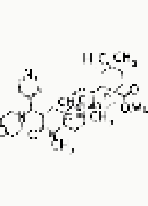 COC(=O)[C@]12CCC(C)(C)CC1C1C=CC3[C@@]4(C)CC(C(c5ccncc5)N5CCOCC5)C(=O)[C@H](C)C4CC[C@@]3(C)[C@]1(C)CC2